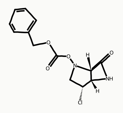 O=C(OCc1ccccc1)ON1C[C@@H](Cl)[C@H]2NC(=O)[C@H]21